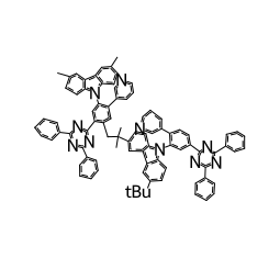 Cc1ccc2c(c1)c1cc(C)ccc1n2-c1cc(-c2nc(-c3ccccc3)nc(-c3ccccc3)n2)c(CC(C)(C)c2ccc3c(c2)c2cc(C(C)(C)C)ccc2n3-c2cc(-c3nc(-c4ccccc4)nc(-c4ccccc4)n3)ccc2-c2cccnc2)cc1-c1cccnc1